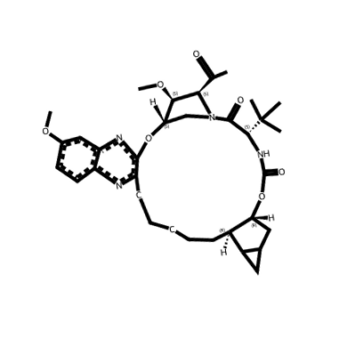 COc1ccc2nc3c(nc2c1)O[C@H]1CN(C(=O)[C@H](C(C)(C)C)NC(=O)O[C@@H]2CC4CC4[C@H]2CCCCC3)[C@H](C(C)=O)[C@@H]1OC